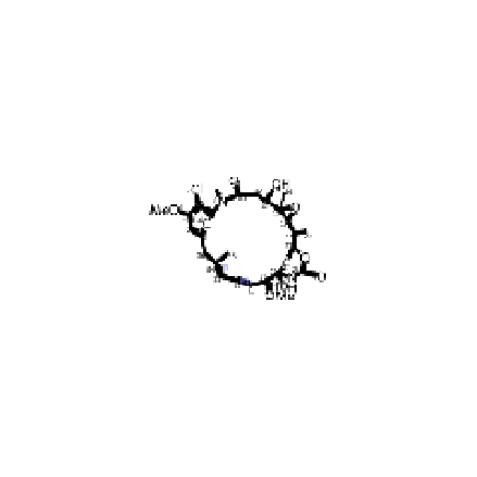 COc1cc2cc(c1Cl)N(C)C(=O)CC(O)[C@]1(C)OC1C(C)C1CC(O)(NC(=O)O1)C(OC)/C=C/C=C(\C)C2